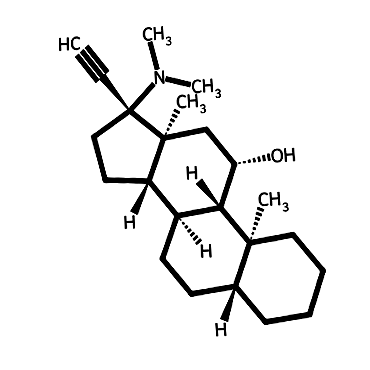 C#C[C@]1(N(C)C)CC[C@H]2[C@@H]3CC[C@H]4CCCC[C@]4(C)[C@H]3[C@@H](O)C[C@@]21C